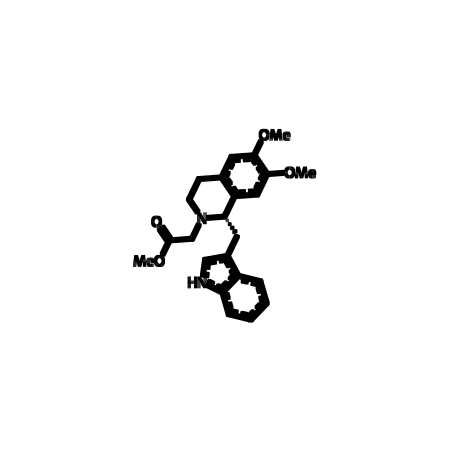 COC(=O)CN1CCc2cc(OC)c(OC)cc2[C@@H]1Cc1c[nH]c2ccccc12